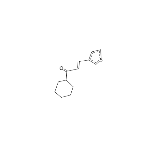 O=C(C=Cc1ccsc1)C1CCCCC1